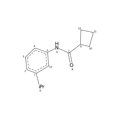 CC(C)c1cccc(NC(=O)C2CCC2)c1